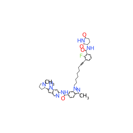 Cc1nn(CCCCCCCC#Cc2cccc(C(=O)N[C@H]3CCC(=O)NC3=O)c2F)c2cc(C(=O)Nc3cc4[nH]c([C@H]5CCCN5C)cc4cn3)ccc12